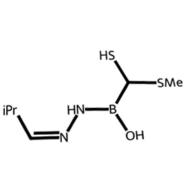 CSC(S)B(O)N/N=C\C(C)C